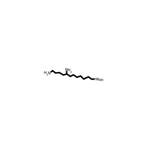 CCCCCCCCCCCCCCCCC(N)CCCCN